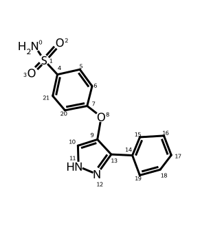 NS(=O)(=O)c1ccc(Oc2c[nH]nc2-c2ccccc2)cc1